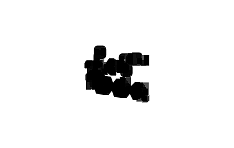 CN1C(=C=O)N(C2CN(C(=O)OC(C)(C)C)C2)c2c1cnc1ccc(-c3ccc(-c4cnn(C)c4)nc3)cc21